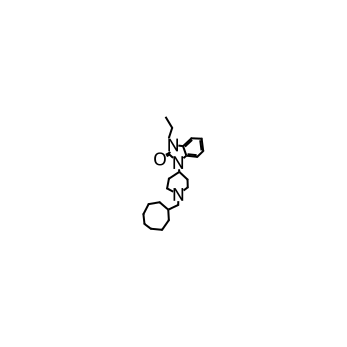 CCCn1c(=O)n(C2CCN(CC3CCCCCCC3)CC2)c2ccccc21